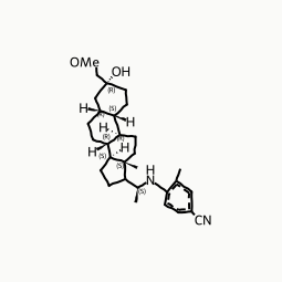 COC[C@@]1(O)CC[C@H]2[C@H](CC[C@@H]3[C@@H]2CC[C@]2(C)C([C@H](C)Nc4ccc(C#N)cc4C)CC[C@@H]32)C1